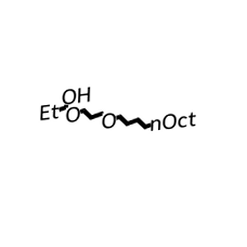 CCCCCCCCCCCCOCCCOC(O)CC